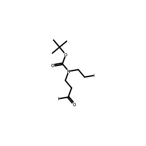 CC(C)(C)OC(=O)N(CCI)CCC(=O)I